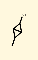 CC1C2C(S)C12